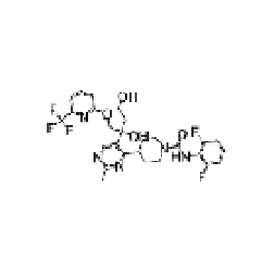 Cc1ncc(C(O)(CCO)COc2cccc(C(F)(F)F)n2)c(C2CCN(C(=O)Nc3c(F)cccc3F)CC2)n1